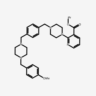 COc1ccc(CN2CCN(Cc3ccc(CN4CCN(c5ncccc5C(=O)OC(C)C)CC4)cc3)CC2)cc1